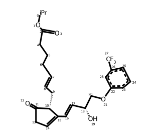 CC(C)OC(=O)CCCC=CC[C@H]1C(=O)CC=C1/C=C/[C@@H](O)COc1cccc(C(F)(F)F)c1